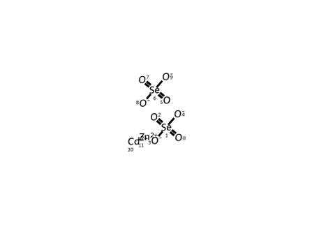 O=[Se](=O)([O-])[O-].O=[Se](=O)([O-])[O-].[Cd+2].[Zn+2]